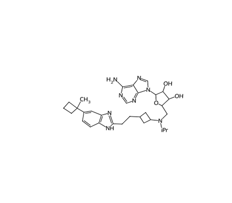 CC(C)N(CC1OC(n2cnc3c(N)ncnc32)C(O)C1O)C1CC(CCc2nc3cc(C4(C)CCC4)ccc3[nH]2)C1